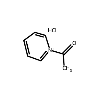 CC(=O)[n+]1ccccc1.Cl